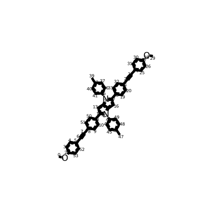 COc1ccc(C#Cc2ccc(-c3cc4c(cc(-c5ccc(C#Cc6ccc(OC)cc6)cc5)n4-c4ccc(C)cc4)n3-c3ccc(C)cc3)cc2)cc1